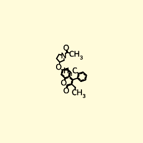 CCc1c(-c2ccccc2C)c2ccc(O[C@H]3CCN(C(C)=O)C3)cc2oc1=O